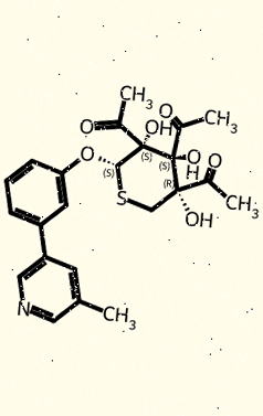 CC(=O)[C@]1(O)[C@@](O)(C(C)=O)CS[C@H](Oc2cccc(-c3cncc(C)c3)c2)[C@@]1(O)C(C)=O